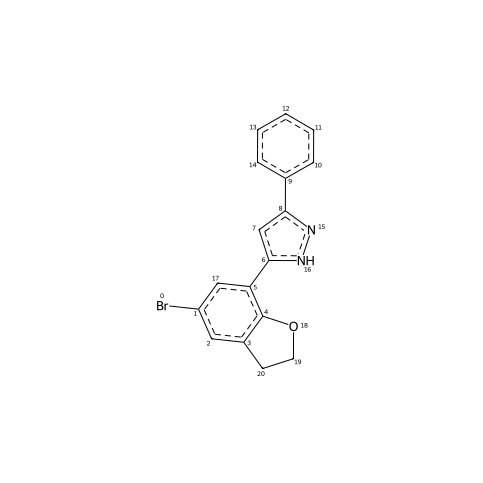 Brc1cc2c(c(-c3cc(-c4ccccc4)n[nH]3)c1)OCC2